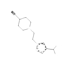 C#CC1CCN(CCn2cc(C(C)C)cn2)CC1